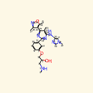 CNCC(O)COc1cccc(-c2nc(Nc3cn(C)cn3)c(C)c(-c3c(C)noc3C)n2)c1